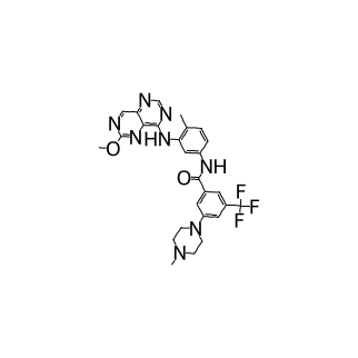 COc1ncc2ncnc(Nc3cc(NC(=O)c4cc(N5CCN(C)CC5)cc(C(F)(F)F)c4)ccc3C)c2n1